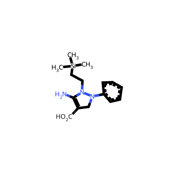 C[Si](C)(C)CCN1C(N)=C(C(=O)O)CN1c1ccccc1